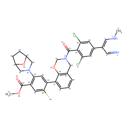 CN/C=C(\C=N)c1cc(Cl)c(C(=O)N2COc3c(cccc3-c3cc(N4CC5CCC(C4)O5)c(C(=O)OC)cc3F)C2)c(Cl)c1